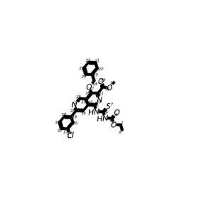 CCOC(=O)NC(=S)Nc1nc(C(=O)OC)c(OCc2ccccc2)c2cnc(-c3cccc(Cl)c3)cc12